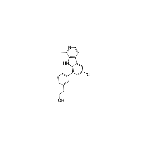 Cc1nccc2c1[nH]c1c(-c3cccc(CCO)c3)cc(Cl)cc12